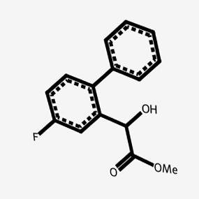 COC(=O)C(O)c1cc(F)ccc1-c1ccccc1